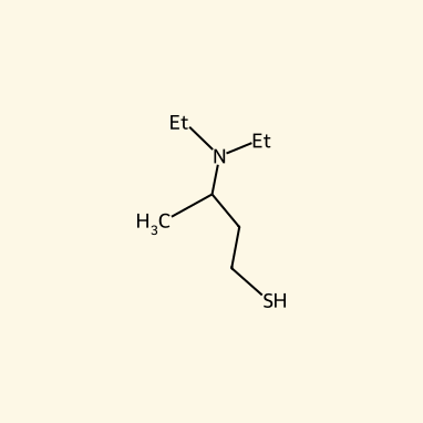 CCN(CC)C(C)CCS